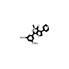 COc1cc(OC)cc(-c2nn(C)c(=O)c3c(-c4ccncc4)csc23)c1